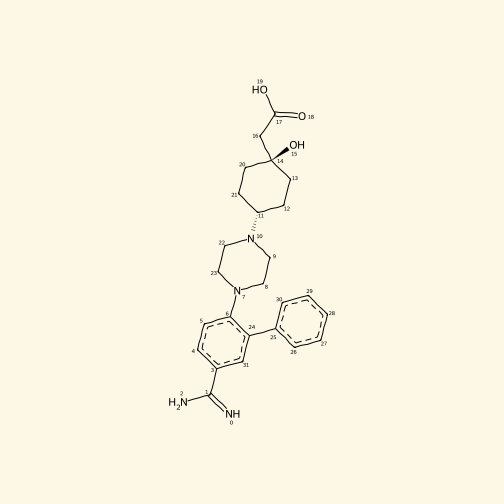 N=C(N)c1ccc(N2CCN([C@H]3CC[C@@](O)(CC(=O)O)CC3)CC2)c(-c2ccccc2)c1